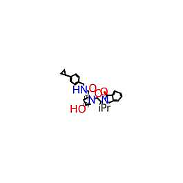 CC(C)C(C(=O)N1C[C@H](O)C[C@H]1C(=O)NCc1ccc(C2CC2)cc1)N1Cc2ccccc2C1=O